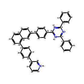 c1ccc(-c2nc(-c3ccccc3)nc(-c3ccc(-c4ccc5cccc(-c6ccc(-c7cccnc7)cc6)c5c4)cc3)n2)cc1